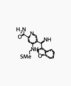 CSCNc1cc(C(N)=O)ncc1C(=N)c1coc2ccccc12